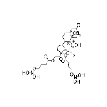 C[C@]12CCC(=O)C=C1CCC1C3CC[C@](OC(=O)CCCON(O)O)(C(=O)COC(=O)CCCON(O)O)[C@@]3(C)C[C@H](O)[C@@H]12